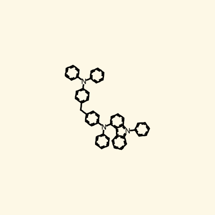 c1ccc(N(c2ccccc2)c2ccc(Cc3ccc(N(c4ccccc4)c4cccc5c4c4ccccc4n5-c4ccccc4)cc3)cc2)cc1